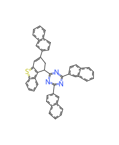 C1=C(c2ccc3ccccc3c2)CC(c2nc(-c3ccc4ccccc4c3)nc(-c3ccc4ccccc4c3)n2)c2c1sc1ccccc21